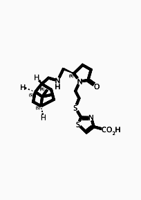 CC1(C)[C@H]2CC[C@@H](CNC[C@H]3CCC(=O)N3CCSc3nc(C(=O)O)cs3)[C@@H]1C2